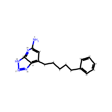 Nc1cc(CCCCCc2ccccc2)c2nn[nH]c2n1